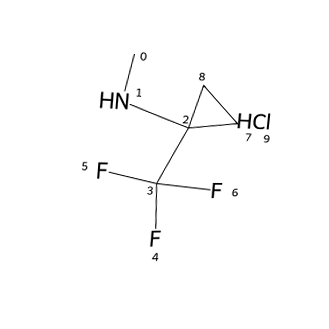 CNC1(C(F)(F)F)CC1.Cl